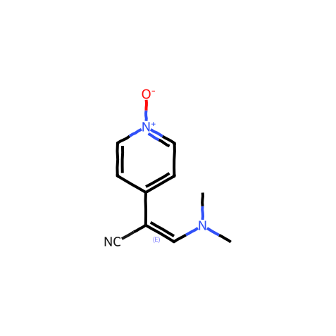 CN(C)/C=C(/C#N)c1cc[n+]([O-])cc1